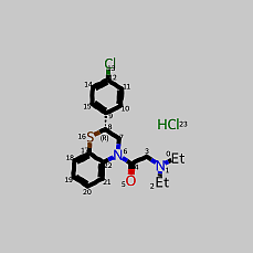 CCN(CC)CC(=O)N1C[C@@H](c2ccc(Cl)cc2)Sc2ccccc21.Cl